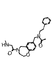 CNCC(=O)N1CCOc2ccc(CN(CCc3ccccc3)C(C)=O)cc2C1